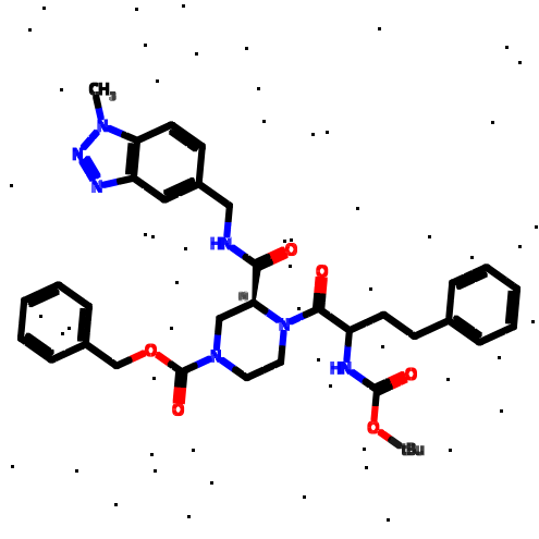 Cn1nnc2cc(CNC(=O)[C@@H]3CN(C(=O)OCc4ccccc4)CCN3C(=O)C(CCc3ccccc3)NC(=O)OC(C)(C)C)ccc21